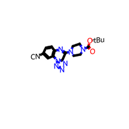 [C-]#[N+]c1ccc2nc(N3CCN(C(=O)OC(C)(C)C)CC3)c3nnnn3c2c1